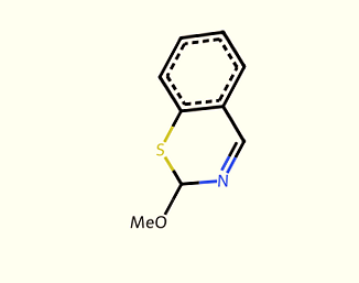 COC1N=Cc2ccccc2S1